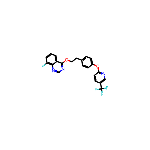 Fc1cccc2c(OCCc3ccc(Oc4ccc(C(F)(F)F)cn4)cc3)ncnc12